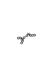 CN(c1ccc(-c2ccc(N(c3ccc4ccccc4c3)c3ccc4ccccc4c3)cc2)cc1)c1ccc2cc3ccccc3cc2c1